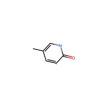 CC1=C[N]C(=O)[C]=C1